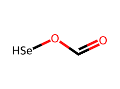 O=CO[SeH]